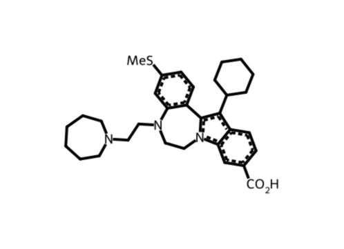 CSc1ccc2c(c1)N(CCN1CCCCCC1)CCn1c-2c(C2CCCCC2)c2ccc(C(=O)O)cc21